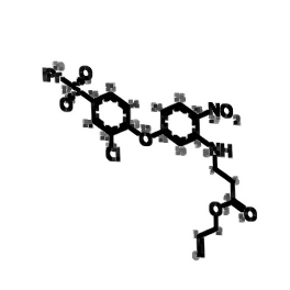 C=CCOC(=O)CCNc1cc(Oc2ccc(S(=O)(=O)C(C)C)cc2Cl)ccc1[N+](=O)[O-]